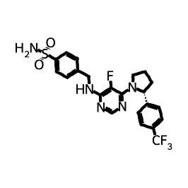 NS(=O)(=O)c1ccc(CNc2ncnc(N3CCC[C@@H]3c3ccc(C(F)(F)F)cc3)c2F)cc1